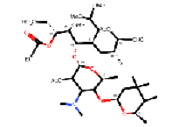 CCC(=O)O[C@H](CC(=O)O)[C@H](OC)[C@@H](O[C@@H]1O[C@@H](C)C(O[C@H]2CC(C)(C)C(C)[C@@H](C)O2)C(N(C)C)C1OC(C)=O)[C@@H](CC(OC)OC)C[C@@H](C)[C@H](C=O)OC(C)=O